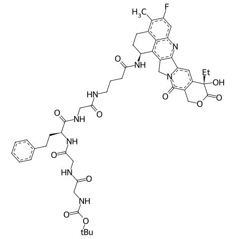 CC[C@@]1(O)C(=O)OCc2c1cc1n(c2=O)Cc2c-1nc1cc(F)c(C)c3c1c2[C@@H](NC(=O)CCCNC(=O)CNC(=O)[C@H](CCc1ccccc1)NC(=O)CNC(=O)CNC(=O)OC(C)(C)C)CC3